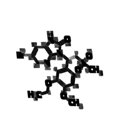 CCOc1cc([C@@H](CS(C)(=O)=O)n2c(=O)[nH]c3cc(Br)cnc32)ccc1OC